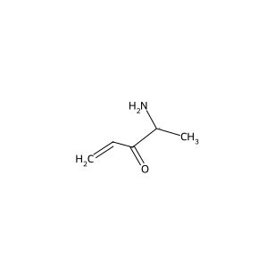 C=CC(=O)[C](C)N